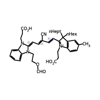 CCCCCCCC1(CCCCCC)C(/C=C/C(C#N)=C/C=C2\N(CCOC=O)c3ccccc3N2CCC(=O)O)=[N+](CCC(=O)O)c2ccc(C)cc21